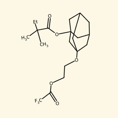 CCC(C)(C)C(=O)OC12CC3CC(CC(OCCOC(=O)C(F)(F)F)(C3)C1)C2